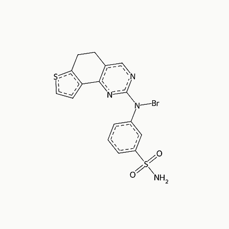 NS(=O)(=O)c1cccc(N(Br)c2ncc3c(n2)-c2ccsc2CC3)c1